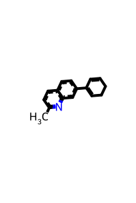 Cc1ccc2ccc(C3=CCCC=C3)cc2n1